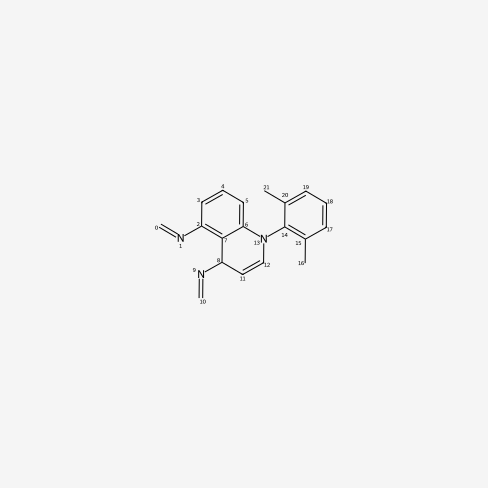 C=Nc1cccc2c1C(N=C)C=CN2c1c(C)cccc1C